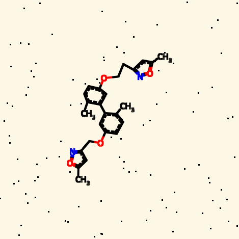 Cc1cc(CCOc2ccc(C)c(-c3cc(OCc4cc(C)on4)ccc3C)c2)no1